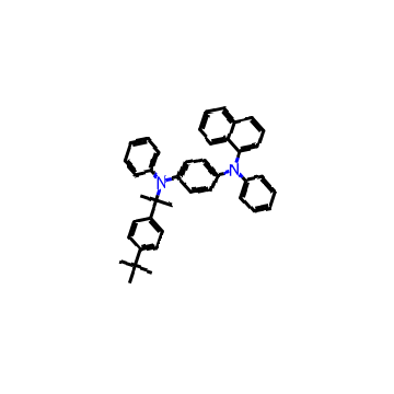 CC(C)(C)c1ccc(C(C)(C)N(c2ccccc2)c2ccc(N(c3ccccc3)c3cccc4ccccc34)cc2)cc1